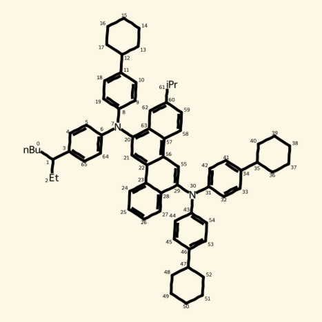 CCCCC(CC)c1ccc(N(c2ccc(C3CCCCC3)cc2)c2cc3c4ccccc4c(N(c4ccc(C5CCCCC5)cc4)c4ccc(C5CCCCC5)cc4)cc3c3ccc(C(C)C)cc23)cc1